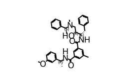 COc1cccc([C@@H](C)NC(=O)c2cc(C)cc(C(=O)N[C@@H](Cc3ccccc3)[C@H](O)CN(C)[C@@H](C)c3ccccc3)c2)c1